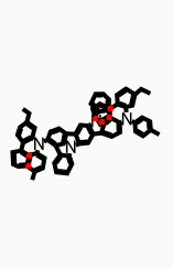 CCc1ccc(-c2ccccc2)c(N(c2ccc(C)cc2)c2ccc3c4cc5c(cc4n4c6ccccc6c2c34)c2ccc(N(c3ccc(C)cc3)c3cc(CC)ccc3-c3ccccc3)c3c4ccccc4n5c23)c1